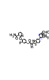 C/C=C(\C=C/N(C)C=O)c1ccc2sc(NC(=O)Cc3ccc(Oc4ncccc4C(N)=O)c(F)c3)nc2c1